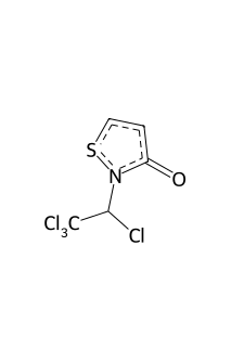 O=c1ccsn1C(Cl)C(Cl)(Cl)Cl